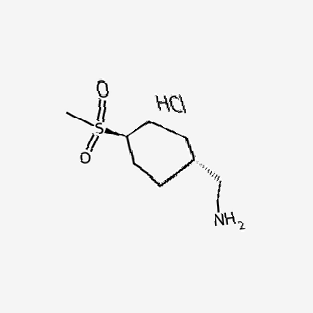 CS(=O)(=O)[C@H]1CC[C@H](CN)CC1.Cl